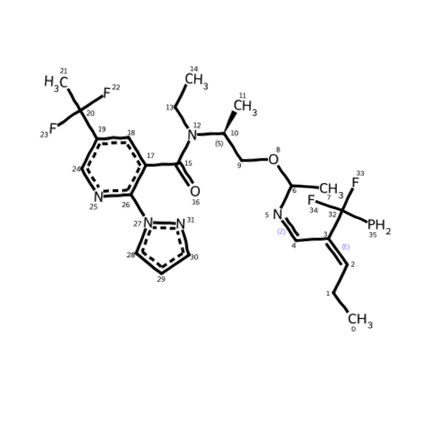 CC/C=C(\C=N/C(C)OC[C@H](C)N(CC)C(=O)c1cc(C(C)(F)F)cnc1-n1cccn1)C(F)(F)P